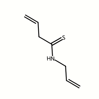 C=CCNC(=S)CC=C